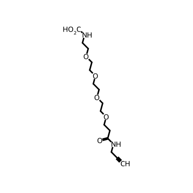 C#CCNC(=O)CCOCCOCCOCCOCCNC(=O)O